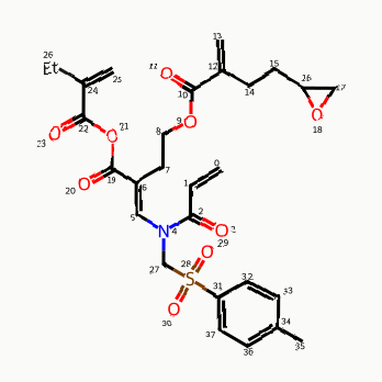 C=CC(=O)N(C=C(CCOC(=O)C(=C)CCC1CO1)C(=O)OC(=O)C(=C)CC)CS(=O)(=O)c1ccc(C)cc1